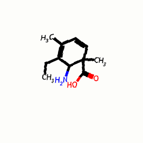 CCC1=C(C)C=CC(C)(C(=O)O)C1N